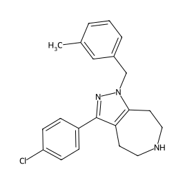 Cc1cccc(Cn2nc(-c3ccc(Cl)cc3)c3c2CCNCC3)c1